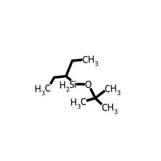 CCC(CC)[SiH2]OC(C)(C)C